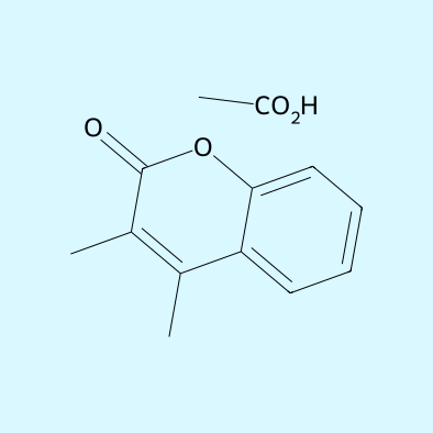 CC(=O)O.Cc1c(C)c2ccccc2oc1=O